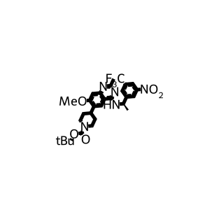 COc1cc2nc(C)nc(N[C@H](C)c3cc([N+](=O)[O-])cc(C(F)(F)F)c3)c2cc1C1CCN(C(=O)OC(C)(C)C)CC1